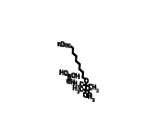 CCCCCCCCCCCCCCCCCCOC(C)(C)C(C)(C)O.OB(O)O